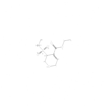 CCOC(=O)C1=CCOCC1S(=O)(=O)NC